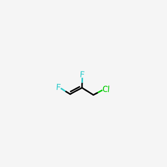 FC=C(F)CCl